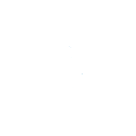 Cl.NC(=O)C1CCCc2ccccc21